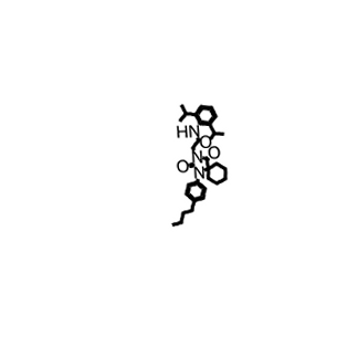 CCCCc1ccc(N2C(=O)N(CC(=O)Nc3c(C(C)C)cccc3C(C)C)C(=O)C23CCCCC3)cc1